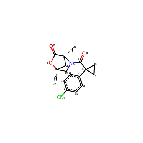 O=C1O[C@H]2C[C@@H]1N(C(=O)C1(c3ccc(Cl)cc3)CC1)C2